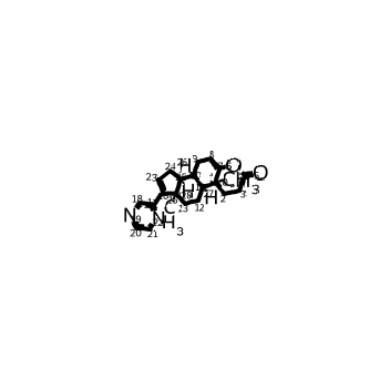 C[C@]12CCC(=O)OC1=CC[C@@H]1[C@@H]2CC[C@]2(C)C(c3cnccn3)=CC[C@@H]12